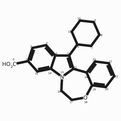 O=C(O)c1ccc2c(C3CCCCC3)c3n(c2c1)CCOc1ccccc1-3